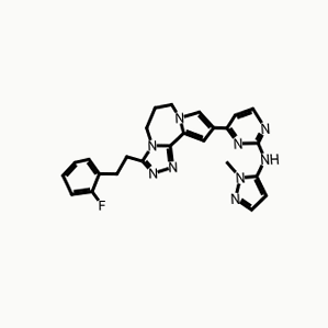 Cn1nccc1Nc1nccc(-c2cc3n(c2)CCCn2c(CCc4ccccc4F)nnc2-3)n1